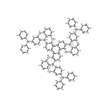 c1ccc(N(c2ccccc2)c2ccc3c(c2)Oc2cccc4c2B3c2ccc3c(c2O4)c2ccc4c(c2c2ccc5c(c32)Oc2cccc3c2B5c2ccc(N(c5ccccc5)c5ccccc5)cc2O3)Oc2cccc3c2B4c2ccc(N(c4ccccc4)c4ccccc4)cc2O3)cc1